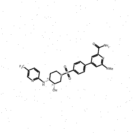 CNc1cc(-c2ccc(S(=O)(=O)N3CC[C@@H](Nc4ccc(C(F)(F)F)cn4)[C@@H](O)C3)cc2)cc(C(N)=O)n1